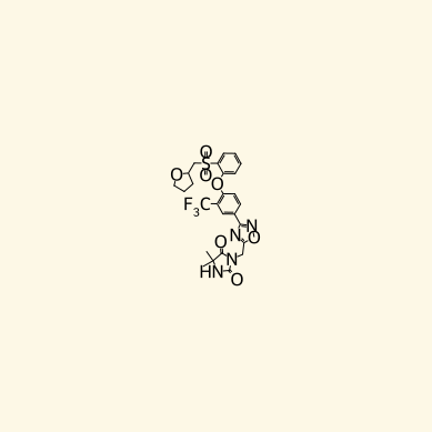 CC1(C)NC(=O)N(Cc2nc(-c3ccc(Oc4ccccc4S(=O)(=O)CC4CCCO4)c(C(F)(F)F)c3)no2)C1=O